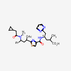 CC(=O)OC(CC(C(C)C)N(C)C(=O)CC1CC1)c1nc(C(=O)N[C@@H](Cc2ncccn2)CC(C)C(=O)O)cs1